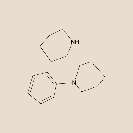 C1CCNCC1.c1ccc(N2CCCCC2)cc1